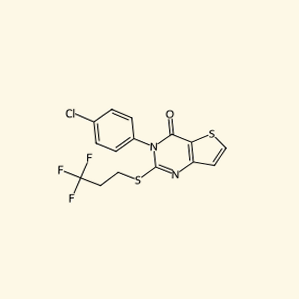 O=c1c2sccc2nc(SCCC(F)(F)F)n1-c1ccc(Cl)cc1